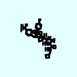 O=C(NCC1CCC1)C1NC([C@H]2CC3(N(Cc4ccc(C(F)(F)F)cc4)S(=O)(=O)c4ccc(F)cc4)CC2C3)=NC12CC2